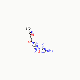 Cc1nc(C(=O)/N=C2\NCC3(CCN(C(=O)CCc4cc(-c5ccccc5)no4)CC3)N2)c(N)nc1N